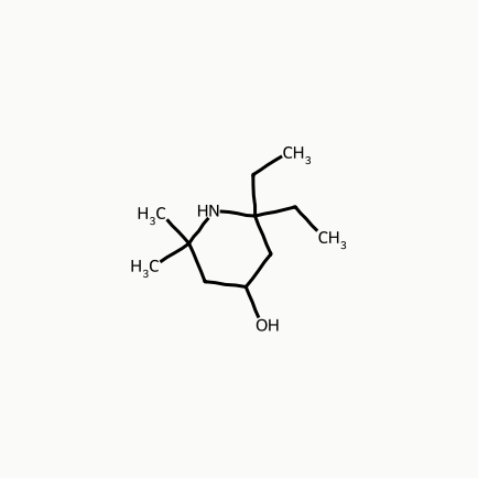 CCC1(CC)CC(O)CC(C)(C)N1